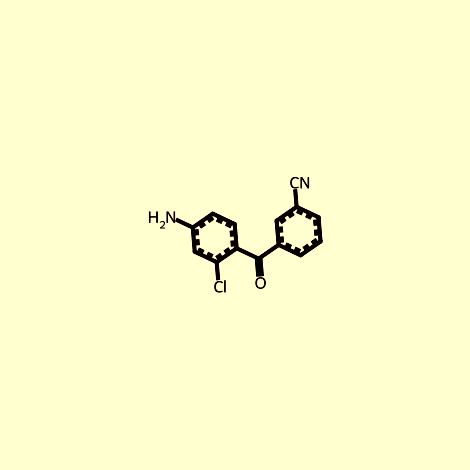 N#Cc1cccc(C(=O)c2ccc(N)cc2Cl)c1